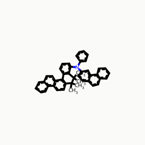 CC1(C)c2ccc3c(ccc4ccccc43)c2-c2cccc(N(c3ccccc3)c3ccc4ccc5ccccc5c4c3)c2C1(C)C